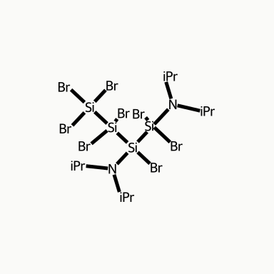 CC(C)N(C(C)C)[Si](Br)(Br)[Si](Br)(N(C(C)C)C(C)C)[Si](Br)(Br)[Si](Br)(Br)Br